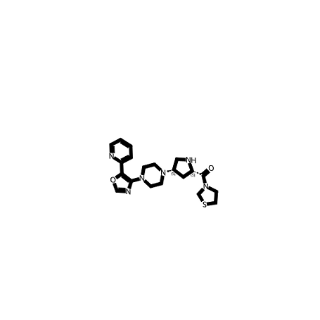 O=C([C@@H]1C[C@H](N2CCN(c3ncoc3-c3ccccn3)CC2)CN1)N1CCSC1